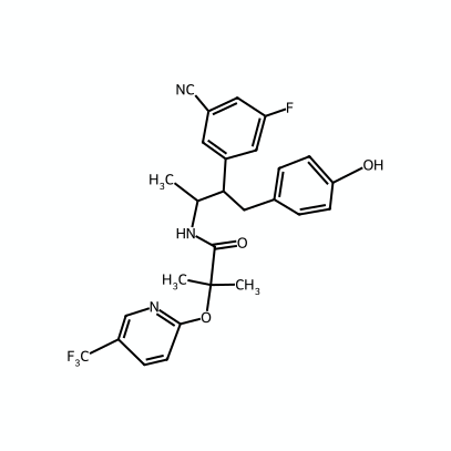 CC(NC(=O)C(C)(C)Oc1ccc(C(F)(F)F)cn1)C(Cc1ccc(O)cc1)c1cc(F)cc(C#N)c1